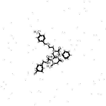 Cc1ccc(COCCN2C[C@H]3N(C(=O)CN(C)N3C(=O)NCc3ccc(F)cc3)[C@@H](c3ccccc3)C2=O)cc1